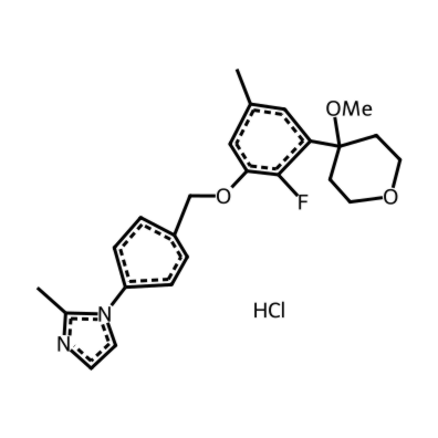 COC1(c2cc(C)cc(OCc3ccc(-n4ccnc4C)cc3)c2F)CCOCC1.Cl